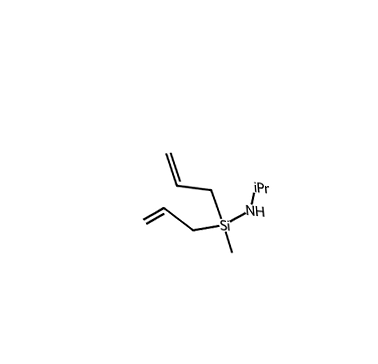 C=CC[Si](C)(CC=C)NC(C)C